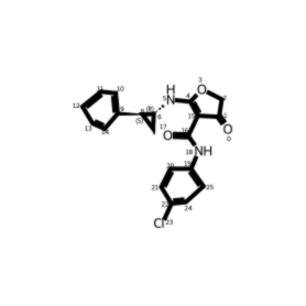 O=C1COC(N[C@@H]2C[C@H]2c2ccccc2)=C1C(=O)Nc1ccc(Cl)cc1